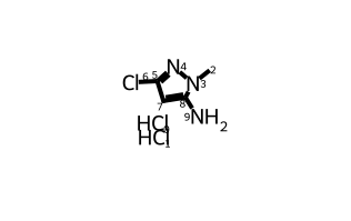 Cl.Cl.Cn1nc(Cl)cc1N